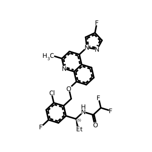 CC[C@H](NC(=O)C(F)F)c1cc(F)cc(Cl)c1COc1cccc2c(-n3cc(F)cn3)cc(C)nc12